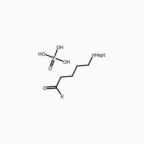 CCCCCCCCCCC[C](=O)[K].O=P(O)(O)O